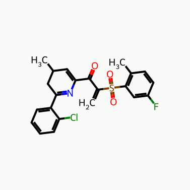 C=C(C(=O)C1=CC(C)CC(c2ccccc2Cl)=N1)S(=O)(=O)c1cc(F)ccc1C